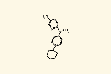 CN(c1ccc(C2CCCCC2)cc1)c1ccc(N)cn1